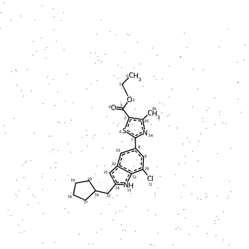 CCOC(=O)c1sc(-c2cc(Cl)c3[nH]c(CC4CCCC4)cc3c2)nc1C